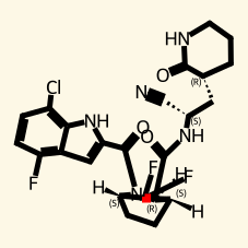 N#C[C@H](C[C@H]1CCCNC1=O)NC(=O)[C@H]1[C@@H]2CC[C@@H](CC2(F)F)N1C(=O)c1cc2c(F)ccc(Cl)c2[nH]1